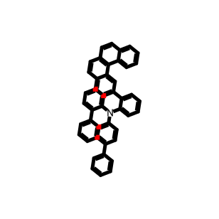 c1ccc(-c2ccc(N(c3ccccc3-c3ccccc3)c3ccccc3-c3ccc4ccc5ccc6ccccc6c5c4c3)cc2)cc1